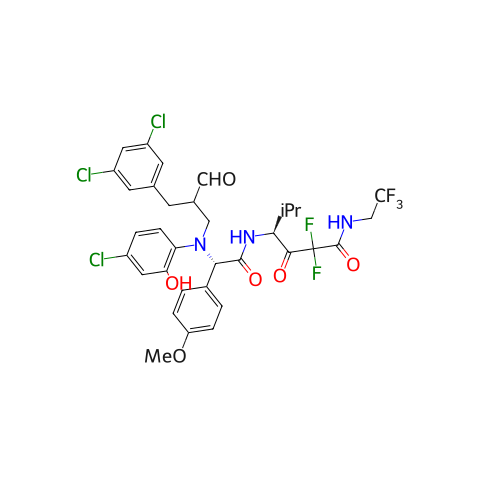 COc1ccc([C@@H](C(=O)N[C@H](C(=O)C(F)(F)C(=O)NCC(F)(F)F)C(C)C)N(CC(C=O)Cc2cc(Cl)cc(Cl)c2)c2ccc(Cl)cc2O)cc1